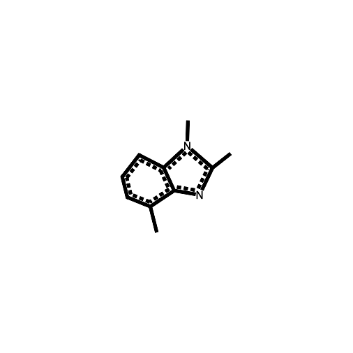 Cc1cccc2c1nc(C)n2C